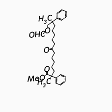 COC(=O)C(C)(CCCCCC(=O)CCCCCC(C)(COC=O)c1ccccc1)c1ccccc1